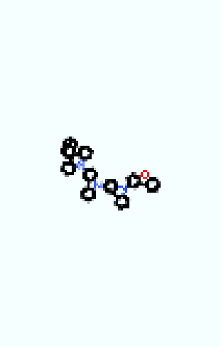 c1ccc2c(c1)N(c1ccc3c(c1)c1ccccc1n3-c1ccc3c(c1)c1ccccc1n3-c1ccc3oc4ccccc4c3c1)c1ccccc1C21C2CC3CC(C2)CC1C3